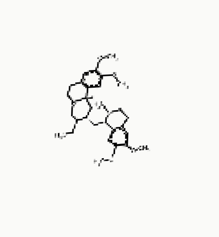 CC[C@H]1CN2CCc3cc(OC)c(OC)cc3[C@@H]2C[C@@H]1C[C@@H]1c2cc(OC)c(OC)cc2CCN1N